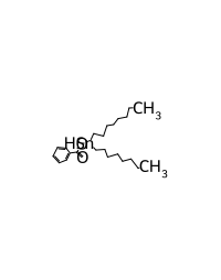 CCCCCCC[CH2][SnH]([CH2]CCCCCCC)[O]C(=O)c1ccccc1